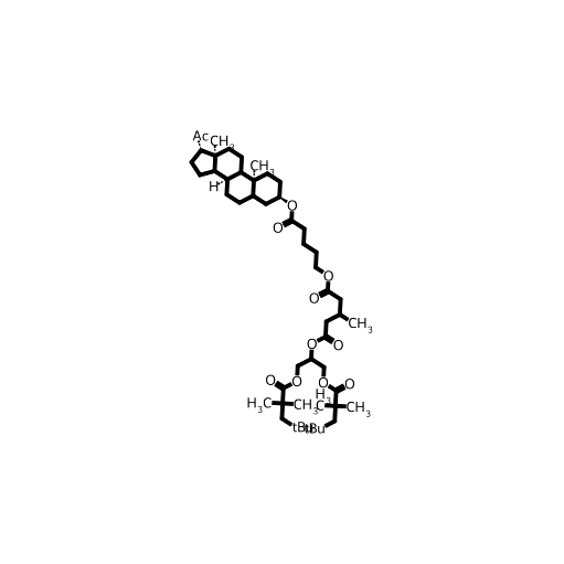 CC(=O)[C@H]1CCC2[C@@H]3CCC4C[C@H](OC(=O)CCCCOC(=O)CC(C)CC(=O)OC(COC(=O)C(C)(C)CC(C)(C)C)COC(=O)C(C)(C)CC(C)(C)C)CC[C@]4(C)C3CC[C@@]21C